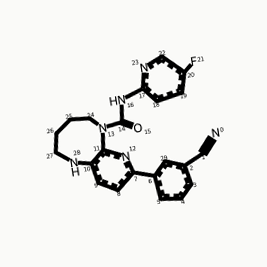 N#Cc1cccc(-c2ccc3c(n2)N(C(=O)Nc2ccc(F)cn2)CCCCN3)c1